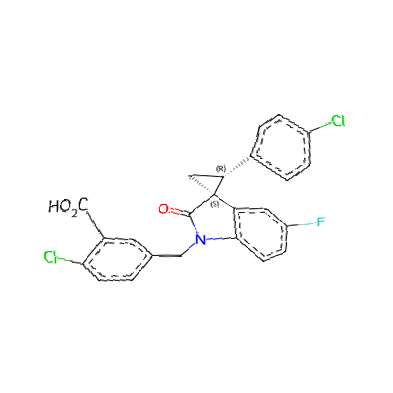 O=C(O)c1cc(CN2C(=O)[C@]3(C[C@@H]3c3ccc(Cl)cc3)c3cc(F)ccc32)ccc1Cl